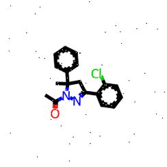 CC(=O)N1N=C(c2ccccc2Cl)CC1(C)c1c[c]ccc1